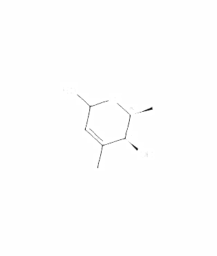 CC1=CC(O)O[C@@H](C)[C@H]1O